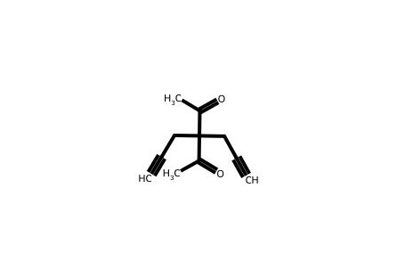 C#CCC(CC#C)(C(C)=O)C(C)=O